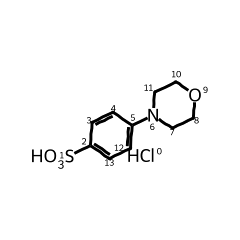 Cl.O=S(=O)(O)c1ccc(N2CCOCC2)cc1